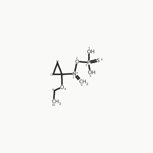 C=[N+](OP(O)(O)=S)C1(OCC)CC1